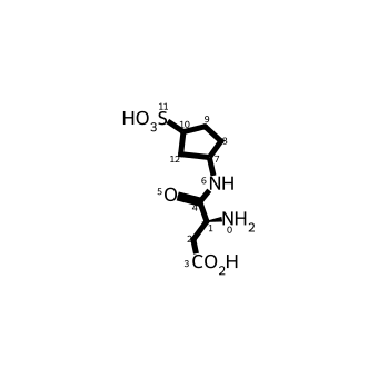 N[C@@H](CC(=O)O)C(=O)NC1CCC(S(=O)(=O)O)C1